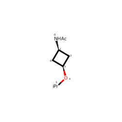 CC(=O)N[C@H]1C[C@@H](OC(C)C)C1